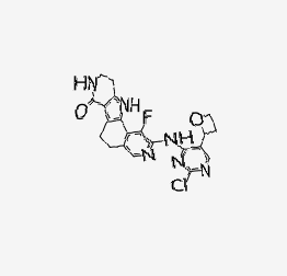 O=C1NCCc2[nH]c3c(c21)CCc1cnc(Nc2nc(Cl)ncc2C2CCO2)c(F)c1-3